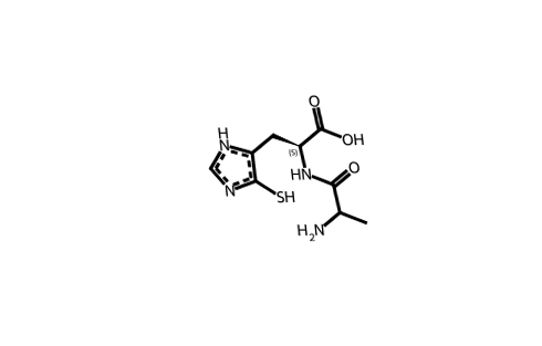 CC(N)C(=O)N[C@@H](Cc1[nH]cnc1S)C(=O)O